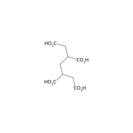 O=C(O)CC(CC(CC(=O)O)C(=O)O)C(=O)O